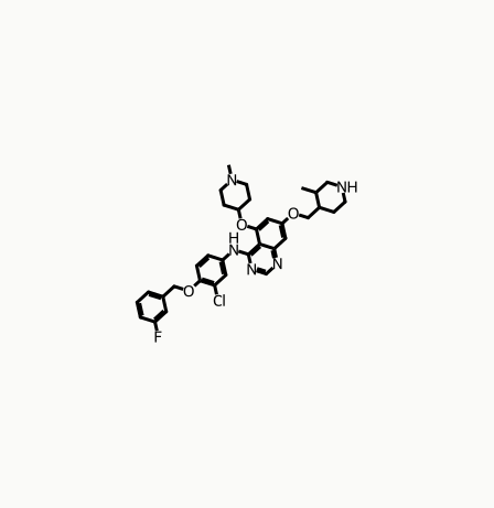 CC1CNCCC1COc1cc(OC2CCN(C)CC2)c2c(Nc3ccc(OCc4cccc(F)c4)c(Cl)c3)ncnc2c1